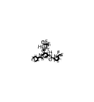 CC(C)Oc1cc(NC(=O)c2cccc(C(F)F)n2)cn2cc(C3CCOCC3)nc12.O=C(O)C(F)(F)F